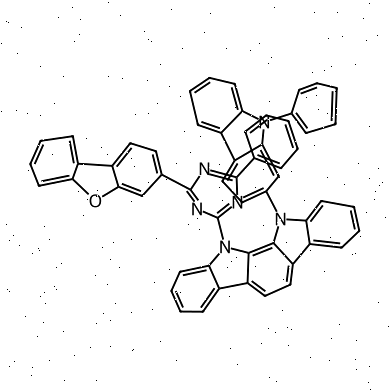 c1ccc(-c2nc(-c3ccc4c(c3)oc3ccccc34)nc(-n3c4ccccc4c4ccc5c6ccccc6n(-c6ccc7c8ccccc8n(-c8ccccc8)c7c6)c5c43)n2)cc1